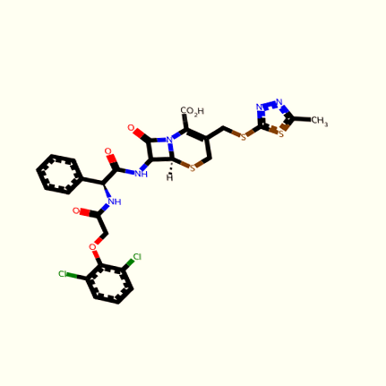 Cc1nnc(SCC2=C(C(=O)O)N3C(=O)C(NC(=O)[C@@H](NC(=O)COc4c(Cl)cccc4Cl)c4ccccc4)[C@@H]3SC2)s1